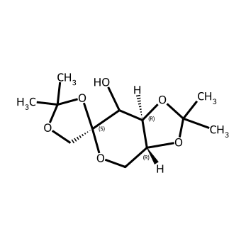 CC1(C)O[C@@H]2C(O)[C@@]3(COC(C)(C)O3)OC[C@H]2O1